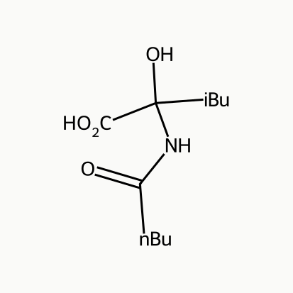 CCCCC(=O)NC(O)(C(=O)O)C(C)CC